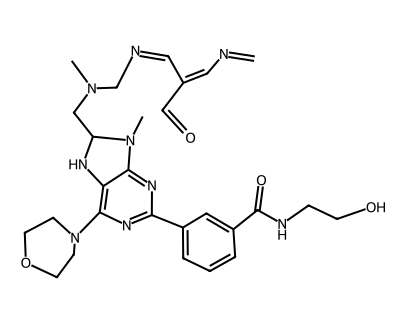 C=N/C=C(C=O)\C=N/CN(C)CC1Nc2c(N3CCOCC3)nc(-c3cccc(C(=O)NCCO)c3)nc2N1C